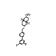 CCCC1CC[C@@H]2C[C@H](CCc3ccc(-c4cc(F)cc(F)c4)cc3)CC[C@@H]2C1